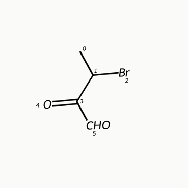 CC(Br)C(=O)C=O